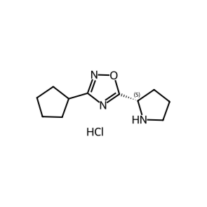 C1CCC(c2noc([C@@H]3CCCN3)n2)C1.Cl